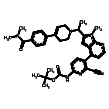 CC(c1cc2c(-c3ccc(NC(=O)OC(C)(C)C)nc3C#N)ccnc2n1C)N1CC=C(c2ccc(C(=O)N(C)C)cc2)CC1